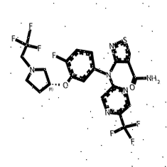 NC(=O)c1csnc1N(c1ccc(F)c(O[C@@H]2CCN(CC(F)(F)F)C2)c1)c1cnc(C(F)(F)F)cn1